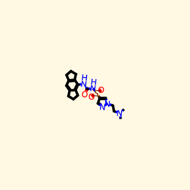 CN(C)CCn1cc(S(=O)(=O)NC(=O)Nc2c3c(cc4c2CCC4)CCC3)cn1